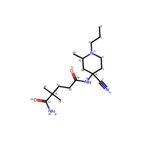 CCCN1CCC(C#N)(NC(=O)[CH]CC(C)(C)C(N)=O)CC1C